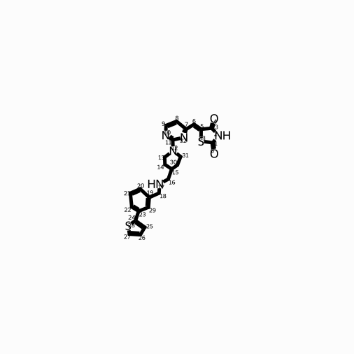 O=C1NC(=O)C(=Cc2ccnc(N3CCC(CNCc4cccc(-c5cccs5)c4)CC3)n2)S1